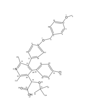 COc1ccc(COc2ccc(-c3c(C)nc(C)c(C(OC(C)(C)C)C(=O)O)c3-c3ccc(Cl)cc3)cc2)cc1